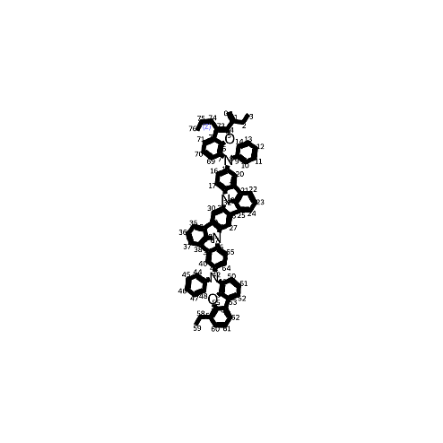 C=C(CC)c1oc2c(N(c3ccccc3)c3ccc4c(c3)c3cccc5c6cc7c(cc6n4c35)c3cccc4c5cc(N(c6ccccc6)c6cccc8c6oc6c(CC)cccc68)ccc5n7c43)cccc2c1/C=C\C